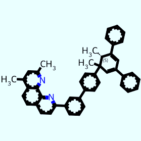 Cc1cc(C)c2ccc3ccc(-c4cccc(-c5ccc(C6(C)C=C(c7ccccc7)C=C(c7ccccc7)[C@H]6C)cc5)c4)nc3c2n1